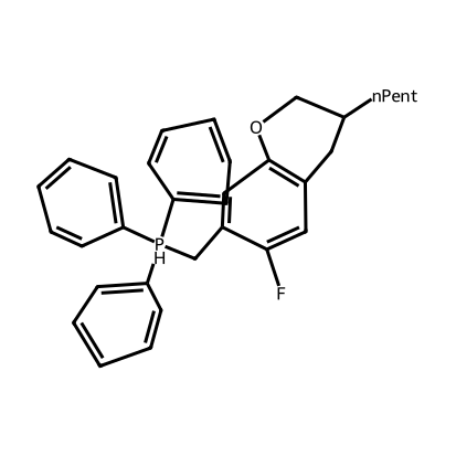 CCCCCC1COc2cc(C[PH](c3ccccc3)(c3ccccc3)c3ccccc3)c(F)cc2C1